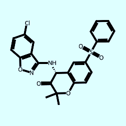 CC1(C)Oc2ccc(S(=O)(=O)c3ccccc3)cc2[C@@H](Nc2noc3ccc(Cl)cc23)C1=O